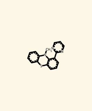 CN1c2ccccc2Sc2cccc(-c3ncccn3)c21